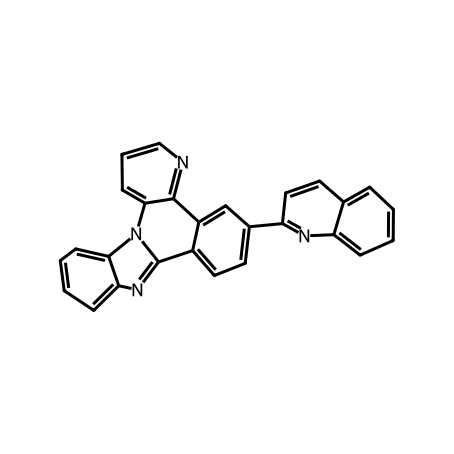 c1ccc2nc(-c3ccc4c(c3)c3ncccc3n3c5ccccc5nc43)ccc2c1